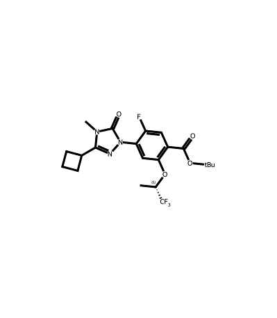 C[C@H](Oc1cc(-n2nc(C3CCC3)n(C)c2=O)c(F)cc1C(=O)OC(C)(C)C)C(F)(F)F